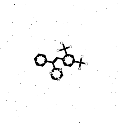 ClC(Cl)(Cl)c1ccc(C=C(c2[c]cccc2)c2ncncn2)c(C(Cl)(Cl)Cl)c1